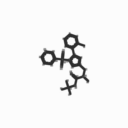 Cc1ccccc1-c1cc(CN(C)C(=O)OC(C)(C)C)cn1S(=O)(=O)c1cccnc1